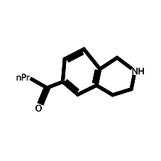 CCCC(=O)c1ccc2c(c1)CCNC2